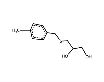 Cc1ccc(CSCC(O)CO)cc1